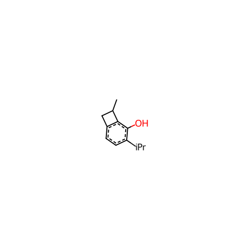 CC(C)c1ccc2c(c1O)C(C)C2